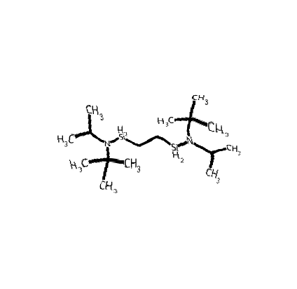 CC(C)N([SiH2]CC[SiH2]N(C(C)C)C(C)(C)C)C(C)(C)C